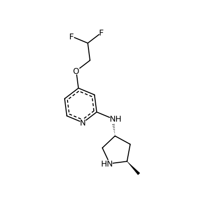 C[C@@H]1C[C@@H](Nc2cc(OCC(F)F)ccn2)CN1